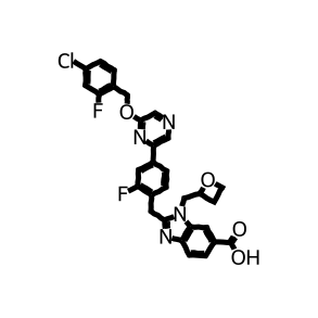 O=C(O)c1ccc2nc(Cc3ccc(-c4cncc(OCc5ccc(Cl)cc5F)n4)cc3F)n(CC3CCO3)c2c1